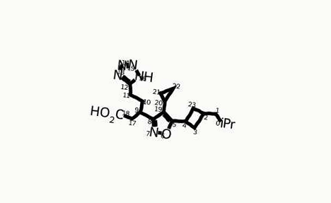 CC(C)CC1CC(c2onc(C(CCc3nnn[nH]3)CC(=O)O)c2C2CC2)C1